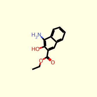 CCOC(=O)c1cc2ccccc2c(N)c1O